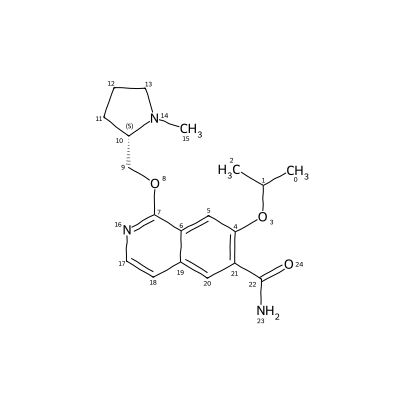 CC(C)Oc1cc2c(OC[C@@H]3CCCN3C)nccc2cc1C(N)=O